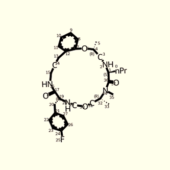 CCC[C@@H]1NC[C@@H](C)Oc2ccccc2CCCNC(=O)[C@@H](Cc2ccc(F)cc2)NCOC[C@@H](C)N(C)C1=O